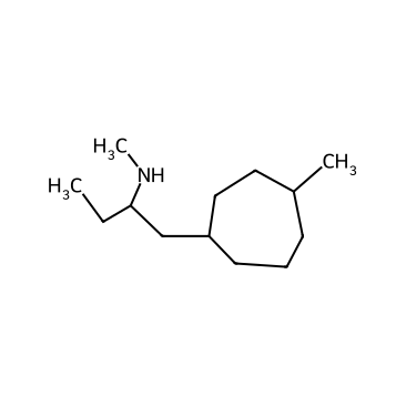 CCC(CC1CCCC(C)CC1)NC